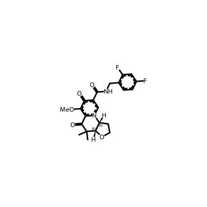 COc1c2n(cc(C(=O)NCc3ccc(F)cc3F)c1=O)[C@@H]1CCO[C@@H]1C(C)(C)C2=O